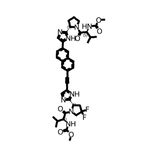 COC(=O)N[C@H](C(=O)N1CC(F)(F)C[C@H]1c1ncc(C#Cc2ccc3cc(-c4cnc([C@@H]5CCCN5C(=O)[C@@H](NC(=O)OC)C(C)C)[nH]4)ccc3c2)[nH]1)C(C)C